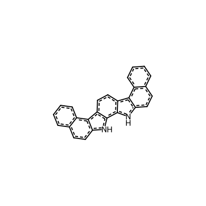 c1ccc2c(c1)ccc1[nH]c3c(ccc4c3[nH]c3ccc5ccccc5c34)c12